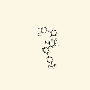 COC(=O)[C@@H](Cc1ccccc1-c1ccc(F)c(Cl)c1)NC(=O)c1cncc(-c2ccc(C(F)(F)F)cc2)c1